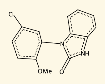 COc1ccc(Cl)cc1-n1c(=O)[nH]c2ccccc21